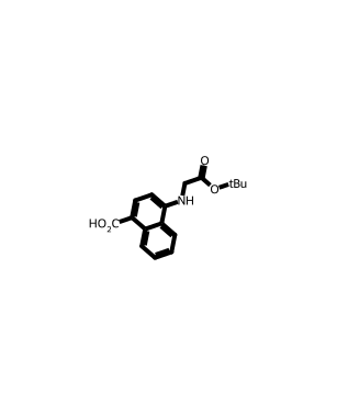 CC(C)(C)OC(=O)CNc1ccc(C(=O)O)c2ccccc12